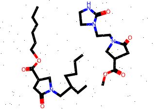 CCCCCCOC(=O)C1CC(=O)N(CC(CC)CCCC)C1.COC(=O)C1CC(=O)N(CCN2CCNC2=O)C1